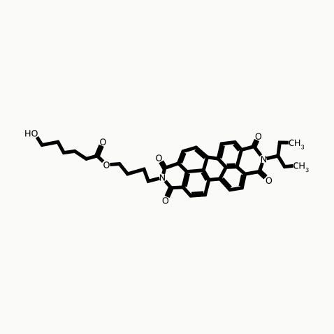 CCC(CC)N1C(=O)c2ccc3c4ccc5c6c(ccc(c7ccc(c2c37)C1=O)c64)C(=O)N(CCCCOC(=O)CCCCCO)C5=O